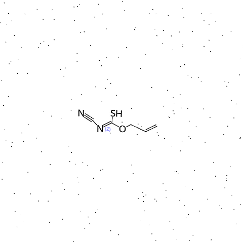 C=CCO/C(S)=N/C#N